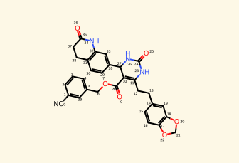 N#Cc1cccc(COC(=O)C2=C(CCc3ccc4c(c3)OCO4)NC(=O)NC2c2ccc3c(c2)NC(=O)CC3)c1